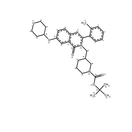 Cc1ccccc1-c1nc2ccc(OC3CCOCC3)cc2c(=O)n1CC1CCCN(C(=O)OC(C)(C)C)C1